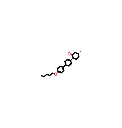 CCCCCOc1ccc(-c2ccc([C@@H]3CC[C@@H](C)CC3=O)cc2)cc1